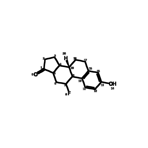 O=C1CCC2C1CC(F)C1c3ccc(O)cc3CC[C@@H]21